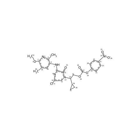 COc1nc(C)c(Nc2nc(Cl)cn(C(COC(=O)Oc3ccc([N+](=O)[O-])cc3)C3CC3)c2=O)cc1C